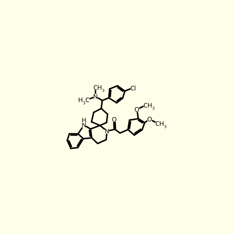 COc1ccc(CC(=O)N2CCc3c([nH]c4ccccc34)C23CCC(C(c2ccc(Cl)cc2)N(C)C)CC3)cc1OC